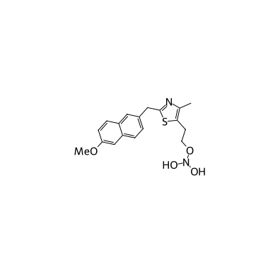 COc1ccc2cc(Cc3nc(C)c(CCON(O)O)s3)ccc2c1